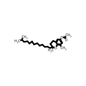 CC(=O)Oc1cc(C)c2c(c1)CC[C@@](C)(CCCCCCCCCCCC(C)C)O2